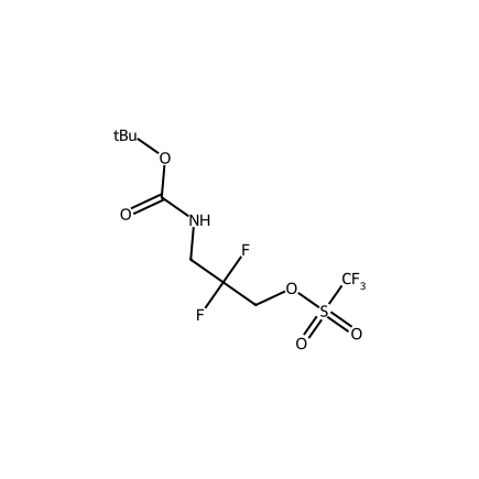 CC(C)(C)OC(=O)NCC(F)(F)COS(=O)(=O)C(F)(F)F